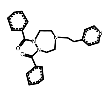 O=C(c1ccccc1)N1CCN(CCc2ccncc2)CCN1C(=O)c1ccccc1